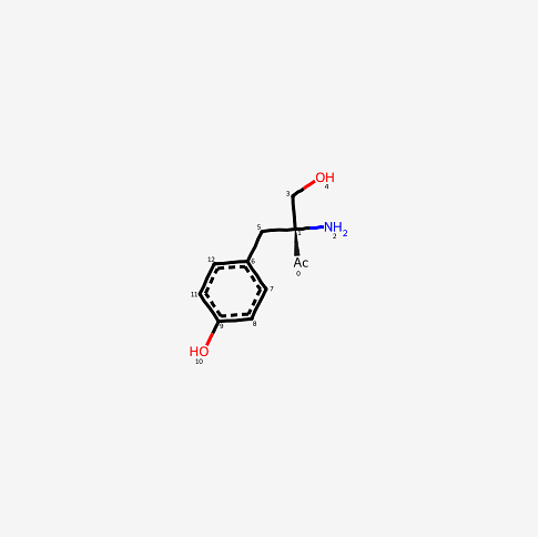 CC(=O)[C@](N)(CO)Cc1ccc(O)cc1